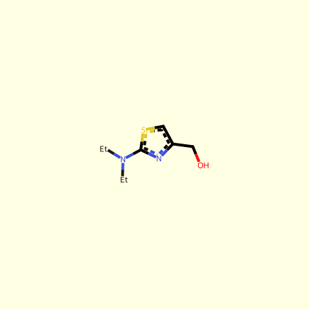 CCN(CC)c1nc(CO)cs1